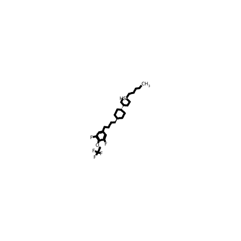 CCCCC[SiH]1CCC([C@H]2CC[C@H](CCCCc3cc(F)c(OCC(F)(F)F)c(F)c3)CC2)CC1